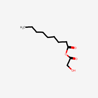 CCCCCCCCC(=O)OC(=O)CO